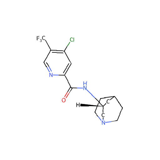 O=C(N[C@@H]1CC2CCN(CC2)C1)c1cc(Cl)c(C(F)(F)F)cn1